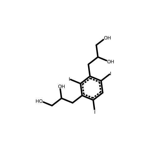 OCC(O)Cc1c(I)cc(I)c(CC(O)CO)c1I